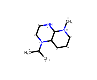 CC(C)N1CCNC2C1CCCN2C